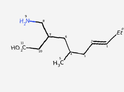 CCC=CCC(C)CC(CN)CC(=O)O